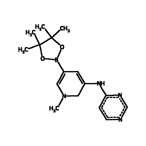 CN1C=C(B2OC(C)(C)C(C)(C)O2)C=C(Nc2ccncn2)C1